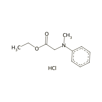 CCOC(=O)CN(C)c1ccccc1.Cl